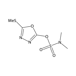 CSc1nnc(OS(=O)(=O)N(C)C)o1